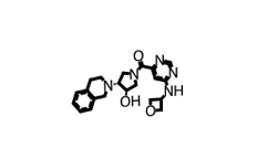 O=C(c1cc(NC2COC2)ncn1)N1C[C@@H](O)[C@H](N2CCc3ccccc3C2)C1